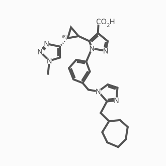 Cn1cc([C@@H]2CC2c2c(C(=O)O)cnn2-c2cccc(Cn3ccnc3CC3CCCCCC3)c2)nn1